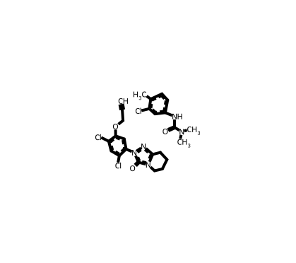 C#CCOc1cc(-n2nc3n(c2=O)CCCC3)c(Cl)cc1Cl.Cc1ccc(NC(=O)N(C)C)cc1Cl